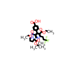 CCOC(=O)c1c(CCC(F)(F)F)nc([C@]2(C(=O)OC(C)(C)C)CCCN2)c(C(=O)OCC)c1-c1ccc(C(=O)O)cc1